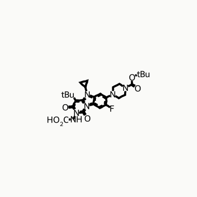 CC(C)(C)OC(=O)N1CCN(c2cc3c(cc2F)n2c(=O)n(NC(=O)O)c(=O)c(C(C)(C)C)c2n3C2CC2)CC1